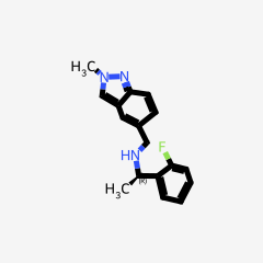 C[C@@H](NCc1ccc2nn(C)cc2c1)c1ccccc1F